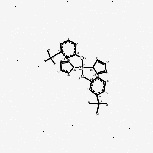 CC(C)(C)c1cccc([O][Zr]([O]c2cccc(C(C)(C)C)c2)([CH]2C=CC=C2)[CH]2C=CC=C2)c1